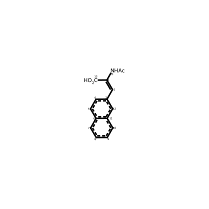 CC(=O)N/C(=C/c1ccc2ccccc2c1)C(=O)O